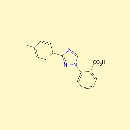 Cc1ccc(-c2ncn(-c3ccccc3C(=O)O)n2)cc1